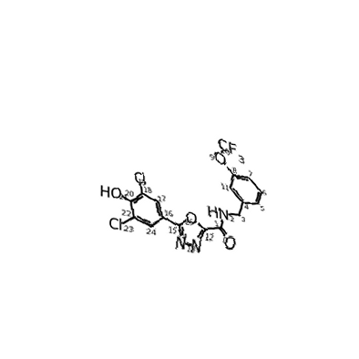 O=C(NCc1cccc(OC(F)(F)F)c1)c1nnc(-c2cc(Cl)c(O)c(Cl)c2)o1